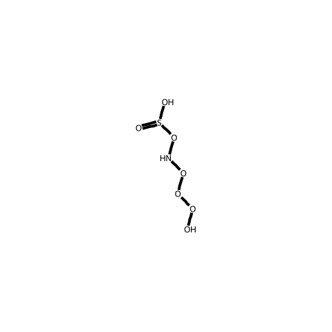 O=S(O)ONOOOO